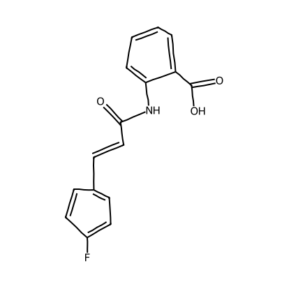 O=C(/C=C/c1ccc(F)cc1)Nc1ccccc1C(=O)O